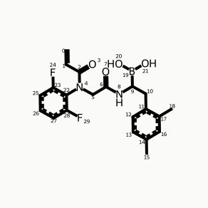 C=CC(=O)N(CC(=O)NC(Cc1ccc(C)cc1C)B(O)O)c1c(F)cccc1F